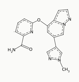 Cn1cc(-c2cc(Oc3cc[c]c(C(N)=O)n3)c3ccnn3c2)cn1